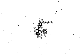 COCCOc1cc2[nH]c(-c3c(N[C@H](c4ncccn4)C(C)C)c4nn(C)cc4[nH]c3=O)nc2cc1OC